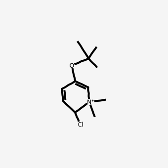 CC(C)(C)OC1=C[N+](C)(C)C(Cl)C=C1